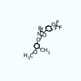 CCOc1ccc(OCc2nc(Br)c(-c3ccc(OC(F)(F)F)cc3)o2)cc1C